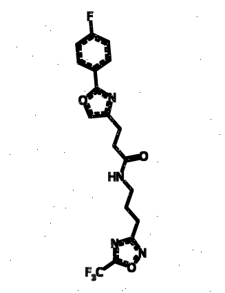 O=C(CCc1coc(-c2ccc(F)cc2)n1)NCCCc1noc(C(F)(F)F)n1